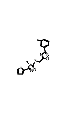 Cc1cccc(-c2noc(CSc3nnc(-c4cccs4)n3C)n2)c1